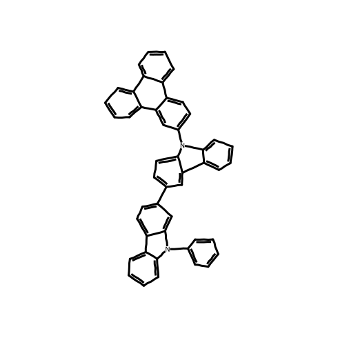 c1ccc(-n2c3ccccc3c3ccc(-c4ccc5c(c4)c4ccccc4n5-c4ccc5c6ccccc6c6ccccc6c5c4)cc32)cc1